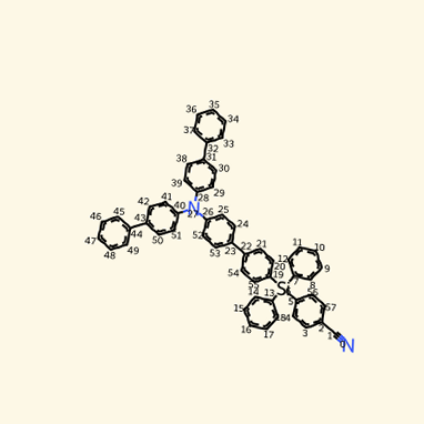 N#Cc1ccc([Si](c2ccccc2)(c2ccccc2)c2ccc(-c3ccc(N(c4ccc(-c5ccccc5)cc4)c4ccc(-c5ccccc5)cc4)cc3)cc2)cc1